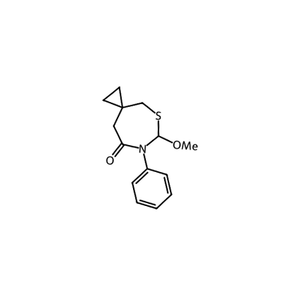 COC1SCC2(CC2)CC(=O)N1c1ccccc1